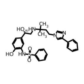 CC(C)(CCn1cnc(-c2ccccc2)c1)NC[C@H](O)c1ccc(O)c(NS(=O)(=O)c2ccccc2)c1